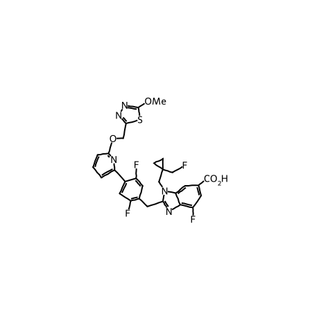 COc1nnc(COc2cccc(-c3cc(F)c(Cc4nc5c(F)cc(C(=O)O)cc5n4CC4(CF)CC4)cc3F)n2)s1